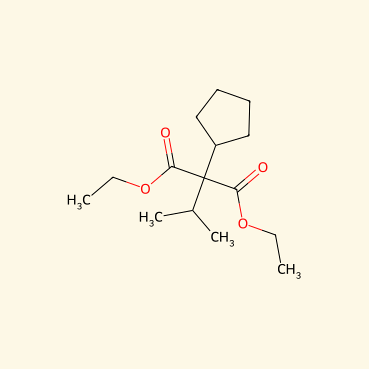 CCOC(=O)C(C(=O)OCC)(C(C)C)C1CCCC1